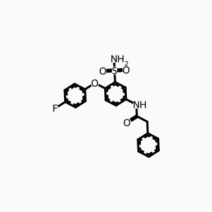 NS(=O)(=O)c1cc(NC(=O)Cc2ccccc2)ccc1Oc1ccc(F)cc1